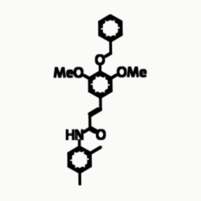 COc1cc(/C=C/C(=O)Nc2ccc(C)cc2C)cc(OC)c1OCc1ccccc1